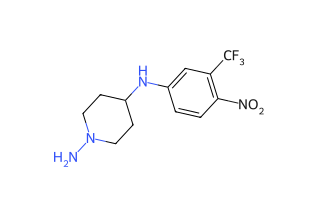 NN1CCC(Nc2ccc([N+](=O)[O-])c(C(F)(F)F)c2)CC1